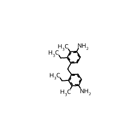 CCc1c(Cc2ccc(N)c(C)c2CC)ccc(N)c1C